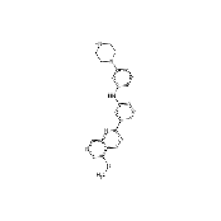 COc1cncc2nc(-c3ccnc(Nc4cccc(N5CCNCC5)c4)c3)ncc12